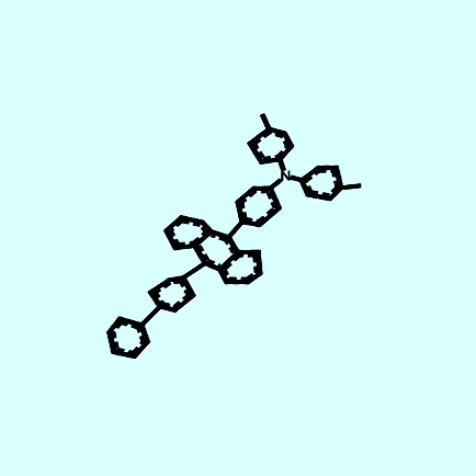 Cc1ccc(N(c2ccc(C)cc2)c2ccc(-c3c4ccccc4c(-c4ccc(-c5ccccc5)cc4)c4ccccc34)cc2)cc1